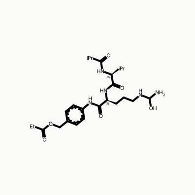 CCC(=O)OCc1ccc(NC(=O)[C@H](CCCNC(N)O)NC(=O)[C@@H](NC(=O)C(C)C)C(C)C)cc1